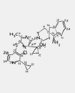 Cc1nc(N2CCC3(CC2)Cc2ccccc2[C@H]3N)c(C2(O)CC2)nc1Sc1ccnc(C2CC2)c1Cl